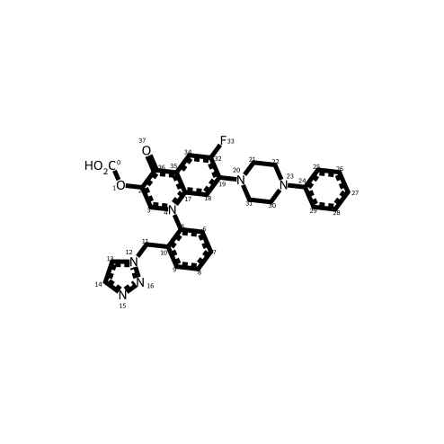 O=C(O)Oc1cn(-c2ccccc2Cn2ccnn2)c2cc(N3CCN(c4ccccc4)CC3)c(F)cc2c1=O